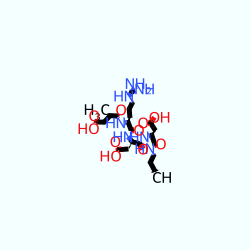 C#CCCNC(=O)[C@H](CC(=O)O)NC(=O)[C@H](CC(=O)O)NC(=O)[C@H](CCCNC(=N)N)NC(=O)[C@@H](C)CC(=O)O